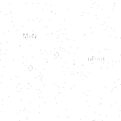 [CH2]CCCCCC(C)OC(=O)NC